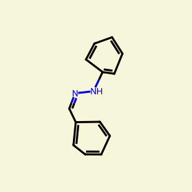 C(=N/Nc1ccccc1)/c1ccccc1